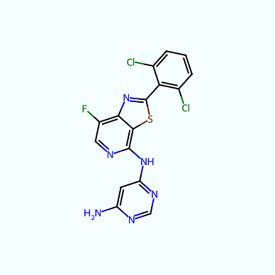 Nc1cc(Nc2ncc(F)c3nc(-c4c(Cl)cccc4Cl)sc23)ncn1